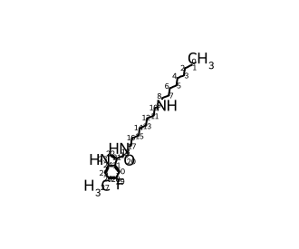 CCCCCCCCCNCCCCCCCCNC(=O)c1c[nH]c2cc(C)c(F)cc12